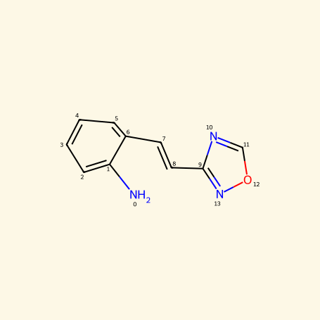 Nc1ccccc1/C=C/c1ncon1